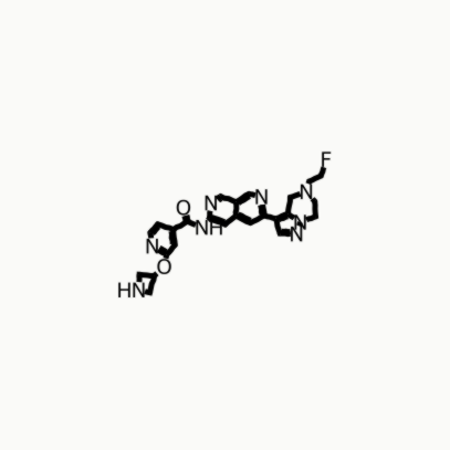 O=C(Nc1cc2cc(-c3cnn4c3CN(CCF)CC4)ncc2cn1)c1ccnc(OC2CNC2)c1